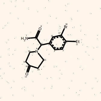 CCc1ccc(C(C(N)=O)N2CCC(=O)CC2)cc1Br